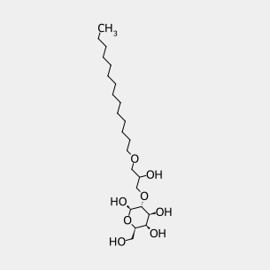 CCCCCCCCCCCCCCOCC(O)CO[C@@H]1[C@@H](O)[C@@H](O)[C@@H](CO)O[C@H]1O